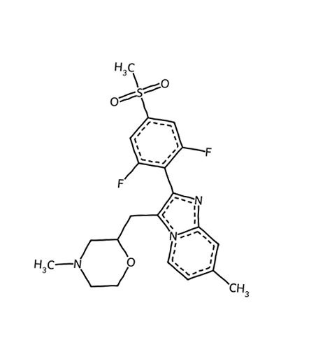 Cc1ccn2c(CC3CN(C)CCO3)c(-c3c(F)cc(S(C)(=O)=O)cc3F)nc2c1